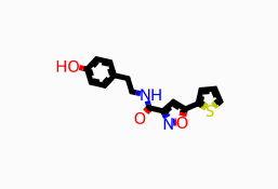 O=C(NCCc1ccc(O)cc1)c1cc(-c2cccs2)on1